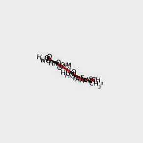 CCC(=S)C(C)CNc1ccc(NC(=S)NCCCCCN(O)C(=O)CCC(O)NCCCCCN(O)C(=O)CCC(=O)NCCCCCN(O)C(C)=O)cc1